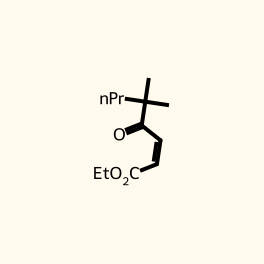 CCCC(C)(C)C(=O)/C=C\C(=O)OCC